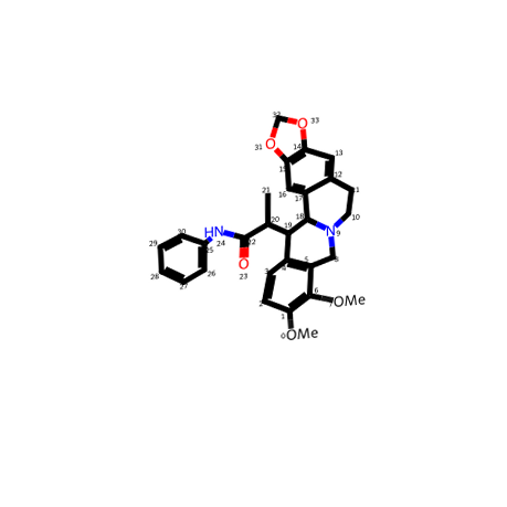 COc1ccc2c(c1OC)CN1CCc3cc4c(cc3C1C2C(C)C(=O)Nc1ccccc1)OCO4